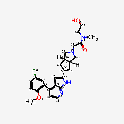 COc1ccc(F)cc1-c1ccnc2[nH]c([C@@H]3C[C@@H]4CN(CC(=O)N(C)CCO)C[C@@H]4C3)cc12